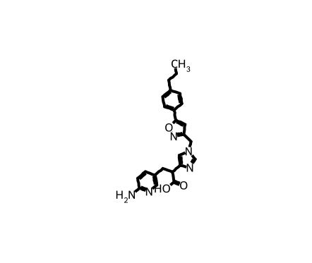 CCCc1ccc(-c2cc(Cn3cnc(C(Cc4ccc(N)nc4)C(=O)O)c3)no2)cc1